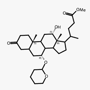 COC(=O)CCC(C)C1CCC2C3C(C[C@H](O)[C@]12C)[C@@]1(C)CCC(=O)CC1C[C@H]3OC1CCCCO1